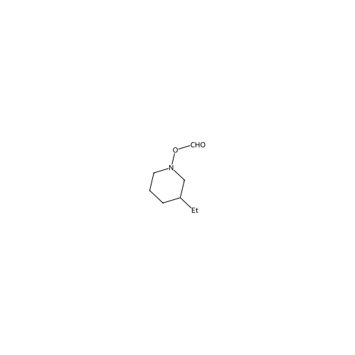 CCC1CCCN(OC=O)C1